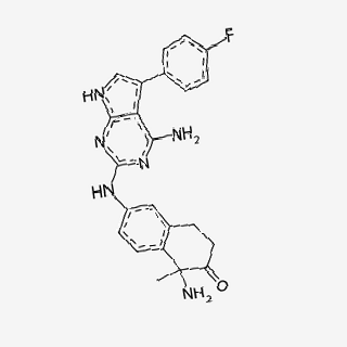 CC1(N)C(=O)CCc2cc(Nc3nc(N)c4c(-c5ccc(F)cc5)c[nH]c4n3)ccc21